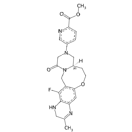 COC(=O)c1ccc(N2CC(=O)N3Cc4c(cc5c(c4F)NCC(C)=N5)OCC[C@@H]3C2)cn1